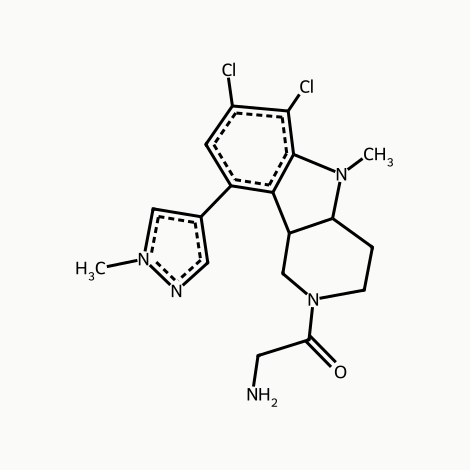 CN1c2c(Cl)c(Cl)cc(-c3cnn(C)c3)c2C2CN(C(=O)CN)CCC21